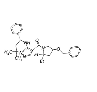 CCC1(CC)C[C@H](OCc2ccccc2)CN1C(=O)c1cnn2c1N[C@@H](c1ccccc1)CC2(C)C